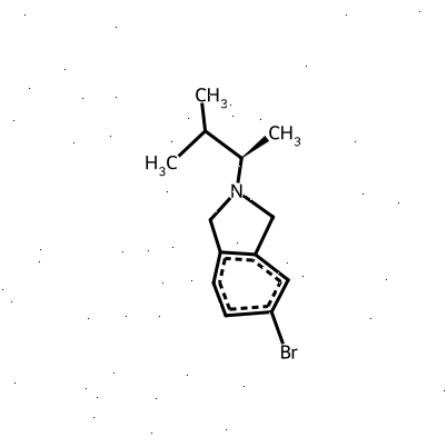 CC(C)[C@@H](C)N1Cc2ccc(Br)cc2C1